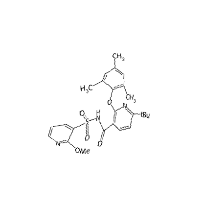 COc1ncccc1S(=O)(=O)NC(=O)c1ccc(C(C)(C)C)nc1Oc1c(C)cc(C)cc1C